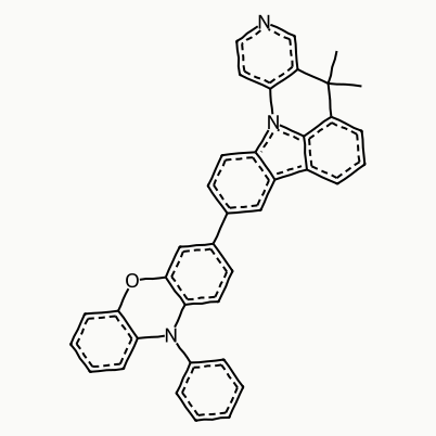 CC1(C)c2cnccc2-n2c3ccc(-c4ccc5c(c4)Oc4ccccc4N5c4ccccc4)cc3c3cccc1c32